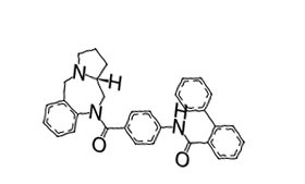 O=C(Nc1ccc(C(=O)N2C[C@H]3CCCN3Cc3ccccc32)cc1)c1ccccc1-c1ccccc1